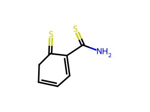 NC(=S)C1=CC=CCC1=S